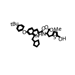 COC(=O)C(Cc1ccc(CO)s1)NC(=O)c1cc2ccc(Oc3ccc(C(C)(C)C)cc3)cc2c(CC2CCCC2)n1